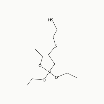 CCO[Si](CCSCCS)(OCC)OCC